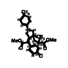 COC(=O)/C(=C1\CN(c2ccc(C)cc2)CC1(C)CC(F)(F)C(=O)OC)c1ccc(Cl)cc1